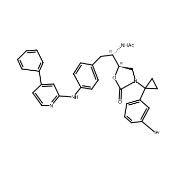 CC(=O)N[C@@H](Cc1ccc(Nc2cc(-c3ccccc3)ccn2)cc1)[C@H]1CN(C2(c3cccc(C(C)C)c3)CC2)C(=O)O1